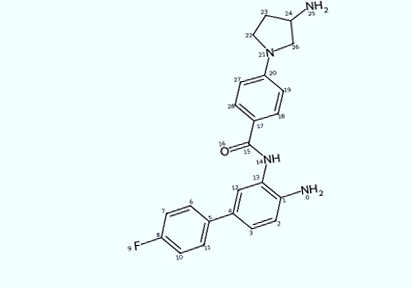 Nc1ccc(-c2ccc(F)cc2)cc1NC(=O)c1ccc(N2CCC(N)C2)cc1